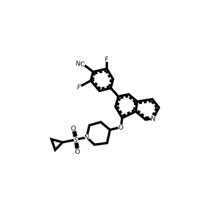 N#Cc1c(F)cc(-c2cc(OC3CCN(S(=O)(=O)C4CC4)CC3)c3cnccc3c2)cc1F